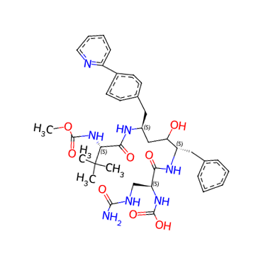 COC(=O)N[C@H](C(=O)N[C@@H](Cc1ccc(-c2ccccn2)cc1)CC(O)[C@H](Cc1ccccc1)NC(=O)[C@H](CNC(N)=O)NC(=O)O)C(C)(C)C